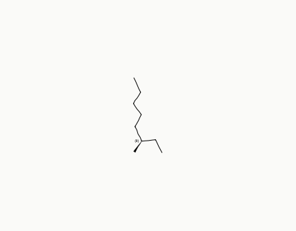 CCCCC[C@H](C)CC